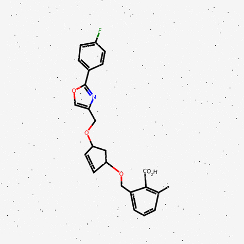 Cc1cccc(COC2C=CC(OCc3coc(-c4ccc(F)cc4)n3)C2)c1C(=O)O